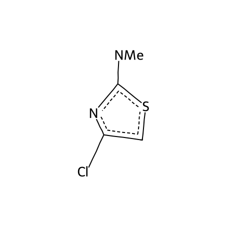 CNc1nc(Cl)cs1